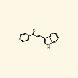 O=C(C=Cc1c[nH]c2ccccc12)c1ccncc1